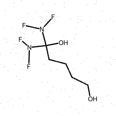 OCCCCC(O)(N(F)F)N(F)F